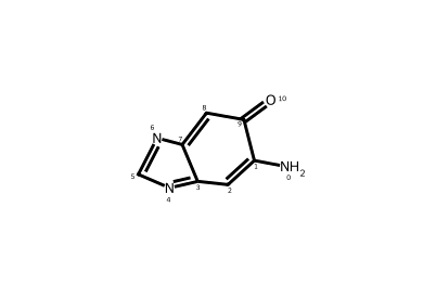 NC1=CC2=NC=NC2=CC1=O